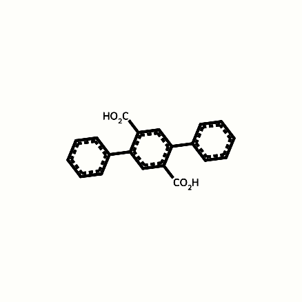 O=C(O)c1cc(-c2ccccc2)c(C(=O)O)cc1-c1ccccc1